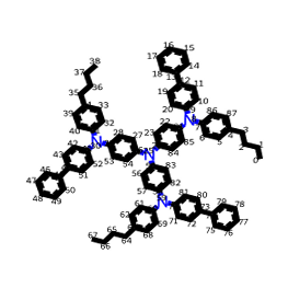 CCCCc1ccc(N(c2ccc(-c3ccccc3)cc2)c2ccc(N(c3ccc(N(c4ccc(CCCC)cc4)c4ccc(-c5ccccc5)cc4)cc3)c3ccc(N(c4ccc(CCCC)cc4)c4ccc(-c5ccccc5)cc4)cc3)cc2)cc1